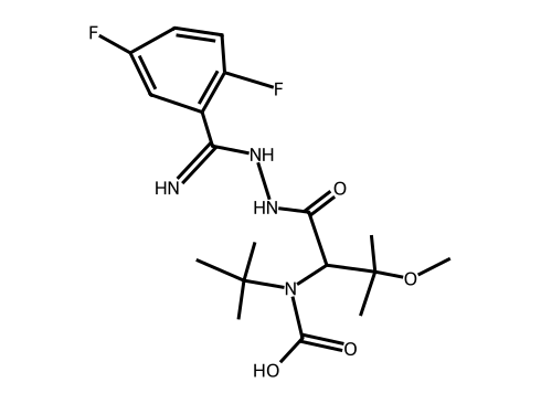 COC(C)(C)C(C(=O)NNC(=N)c1cc(F)ccc1F)N(C(=O)O)C(C)(C)C